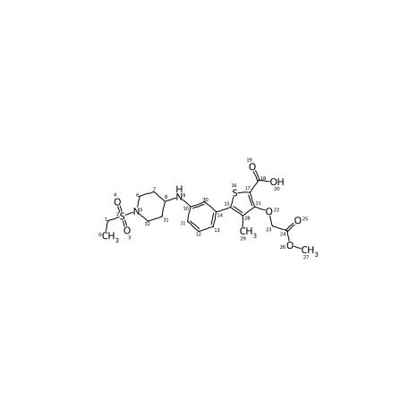 CCS(=O)(=O)N1CCC(Nc2cccc(-c3sc(C(=O)O)c(OCC(=O)OC)c3C)c2)CC1